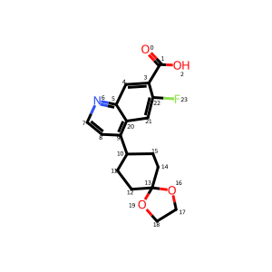 O=C(O)c1cc2nccc(C3CCC4(CC3)OCCO4)c2cc1F